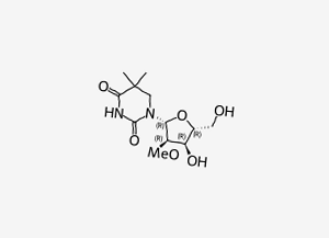 CO[C@@H]1[C@H](O)[C@@H](CO)O[C@H]1N1CC(C)(C)C(=O)NC1=O